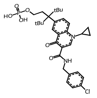 CC(C)(C)C(CCOP(=O)(O)O)(c1ccc2c(c1)c(=O)c(C(=O)NCc1ccc(Cl)cc1)cn2C1CC1)C(C)(C)C